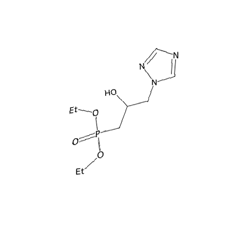 CCOP(=O)(CC(O)Cn1cncn1)OCC